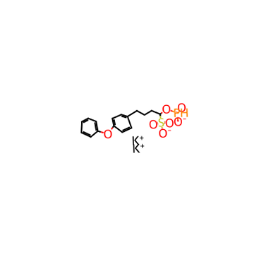 O=[PH]([O-])OC(CCCc1ccc(Oc2ccccc2)cc1)S(=O)(=O)[O-].[K+].[K+]